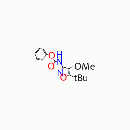 COCc1c(NC(=O)Oc2ccccc2)noc1C(C)(C)C